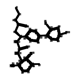 CCOC(=O)C[C@H](NC(=O)Nc1c(O)ccn(C)c1=O)c1ccc(-c2ccc(F)cc2F)cc1